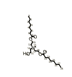 CCCCCCCC(=O)OCC[N+](C)(CCO)CCOC(=O)CCCCCCC